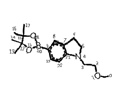 COCCN1CCc2cc(B3OC(C)(C)C(C)(C)O3)ccc21